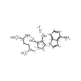 C[S+](CC[C@H](N)C(=O)O)C[C@H]1O[C@@H](n2cnc3c(N)ncnc32)[C@H](O)[C@@H]1O.[I-].[Li]